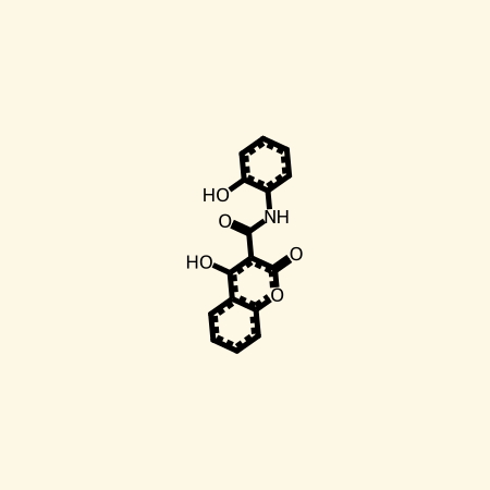 O=C(Nc1ccccc1O)c1c(O)c2ccccc2oc1=O